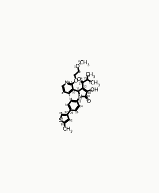 COCCOc1ncccc1C1C(C(=O)C(C)C)=C(O)C(=O)N1c1ccc(-c2csc(C)c2)cc1